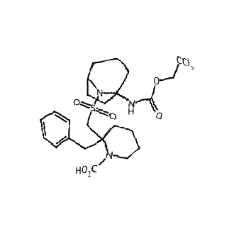 O=C(NC12CCCC(CC1)N2S(=O)(=O)CC1(Cc2ccccc2)CCCCN1C(=O)O)OCC(Cl)(Cl)Cl